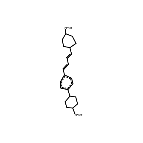 CCCCCC1CCC(C=CC=Cc2ccc(C3CCC(CCCCC)CC3)cc2)CC1